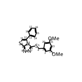 COc1cc(CSc2nnc3scc(-c4ccccc4)n23)cc(OC)c1